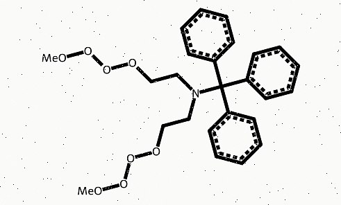 COOOOCCN(CCOOOOC)C(c1ccccc1)(c1ccccc1)c1ccccc1